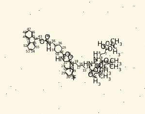 CC(C)(C)OC(=O)CC[C@H](NC(=O)N[C@@H](CCCCNC(=O)[C@H](Cc1ccc(F)cc1)NC(=O)C1CCC(CNC(=O)OCC2c3ccccc3-c3ccccc32)CC1)C(=O)OC(C)(C)C)C(=O)OC(C)(C)C